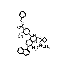 CN(C)CC1(Oc2nc3c(c(N4CCN(C(=O)OCc5ccccc5)[C@@H](CC#N)C4)n2)CCN(c2cccc4ccccc24)C3)CCC1